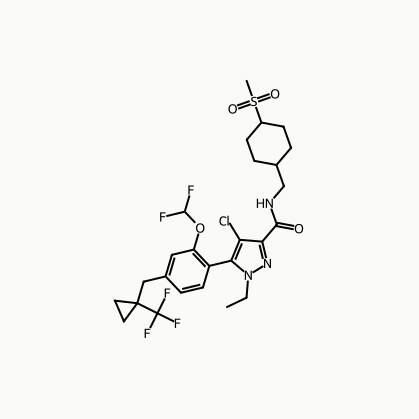 CCn1nc(C(=O)NCC2CCC(S(C)(=O)=O)CC2)c(Cl)c1-c1ccc(CC2(C(F)(F)F)CC2)cc1OC(F)F